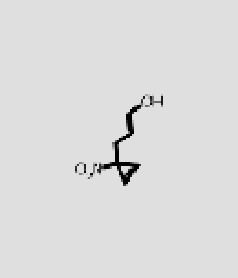 O=[N+]([O-])C1(C/C=C/O)C=C1